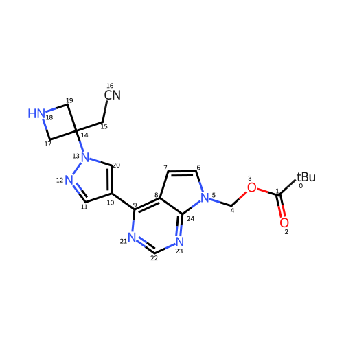 CC(C)(C)C(=O)OCn1ccc2c(-c3cnn(C4(CC#N)CNC4)c3)ncnc21